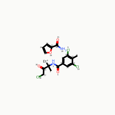 CCC(C)(NC(=O)c1cc(Cl)c(C)c(Cl)c1)C(=O)CCl.NC(=O)c1ccco1